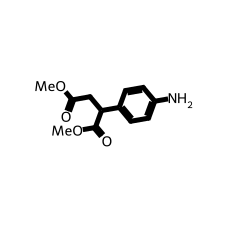 COC(=O)CC(C(=O)OC)c1ccc(N)cc1